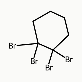 BrC1(Br)CCCCC1(Br)Br